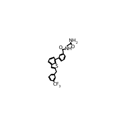 NC(=O)CNC(=O)c1cccc(-c2cccc3cc(Cc4cccc(C(F)(F)F)c4)sc23)c1